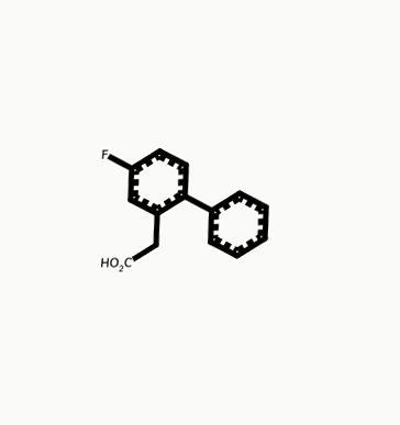 O=C(O)Cc1cc(F)ccc1-c1ccccc1